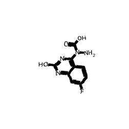 NN(C(=O)O)c1nc(O)nc2cc(F)ccc12